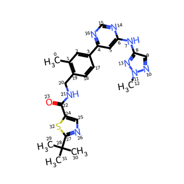 Cc1cc(-c2cc(Nc3cnn(C)n3)ncn2)ccc1CNC(=O)c1cnc(C(C)(C)C)s1